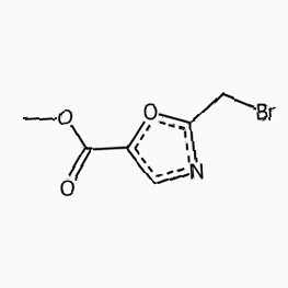 COC(=O)c1cnc(CBr)o1